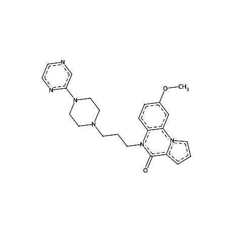 COc1ccc2c(c1)n1cccc1c(=O)n2CCCN1CCN(c2cnccn2)CC1